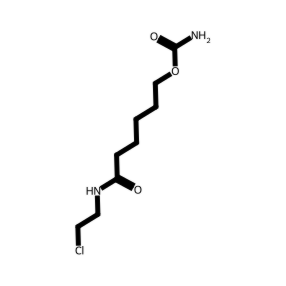 NC(=O)OCCCCCC(=O)NCCCl